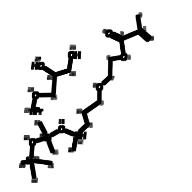 C=C(C)C(=O)OCCOCCC[SiH](C)O[Si](C)(C)O[Si](C)(C)C.CCCOCC(O)CO